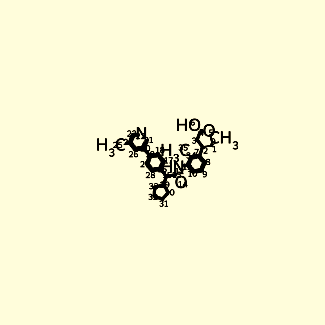 CC[C@H](CC(=O)O)c1cccc(NC(=O)C(c2ccc(-c3cncc(C)c3)cc2)C2CCCC2)c1C